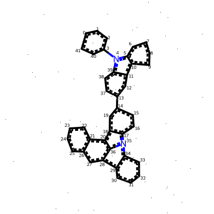 c1ccc(-n2c3ccccc3c3cc(-c4ccc5c(c4)c4c6ccccc6cc6c7ccccc7n5c64)ccc32)cc1